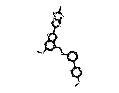 COc1ccc(-c2cccc(OCc3cc(OC)cc4oc(-c5cn6nc(C)sc6n5)cc34)c2)nc1